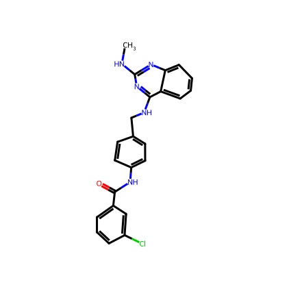 CNc1nc(NCc2ccc(NC(=O)c3cccc(Cl)c3)cc2)c2ccccc2n1